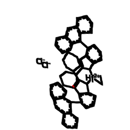 C1=C(C2CCCCC2)[CH]([Hf+2]2([CH]3C(C4CCCCC4)=Cc4c(-c5c6ccccc6cc6ccccc56)cccc43)[CH2][CH2]2)c2cccc(-c3c4ccccc4cc4ccccc34)c21.[Cl-].[Cl-]